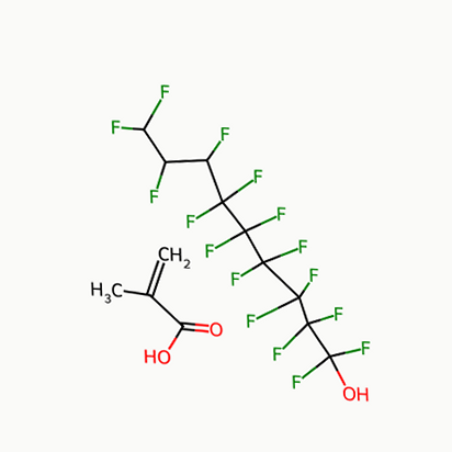 C=C(C)C(=O)O.OC(F)(F)C(F)(F)C(F)(F)C(F)(F)C(F)(F)C(F)(F)C(F)C(F)C(F)F